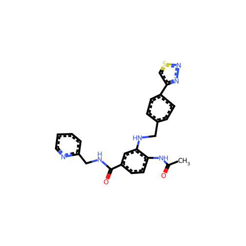 CC(=O)Nc1ccc(C(=O)NCc2ccccn2)cc1NCc1ccc(-c2csnn2)cc1